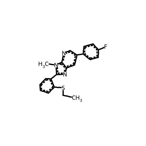 CCSc1ccccc1-c1nc2cc(-c3ccc(F)cc3)cnc2n1C